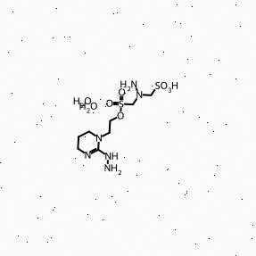 NNC1=NCCCN1CCOS(=O)(=O)CN(N)CS(=O)(=O)O.O.O